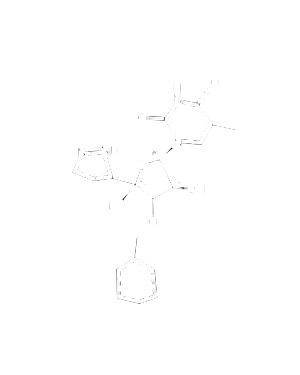 CC[C@@]1(c2ccn[nH]2)O[C@@H](n2cc(C)c(=O)[nH]c2=O)[C@@H](O)C1OCc1ccccc1